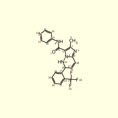 Cc1nc2n(c1C(=O)Nc1ccncc1)NC(c1ccccc1C(F)(F)F)C=C2